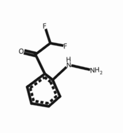 NNc1ccccc1C(=O)C(F)F